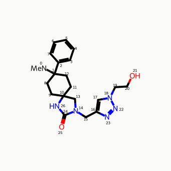 CNC1(c2ccccc2)CCC2(CC1)CN(Cc1cn(CCO)nn1)C(=O)N2